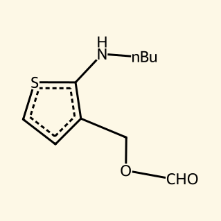 CCCCNc1sccc1COC=O